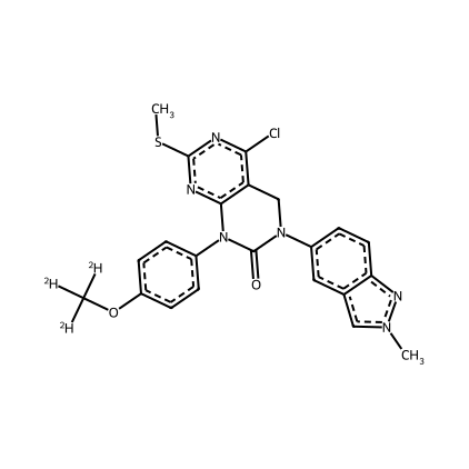 [2H]C([2H])([2H])Oc1ccc(N2C(=O)N(c3ccc4nn(C)cc4c3)Cc3c(Cl)nc(SC)nc32)cc1